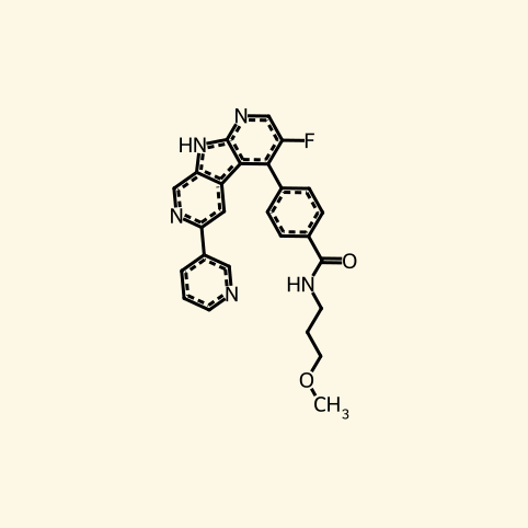 COCCCNC(=O)c1ccc(-c2c(F)cnc3[nH]c4cnc(-c5cccnc5)cc4c23)cc1